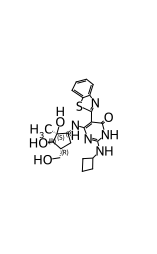 C[C@@]1(O)[C@H](O)[C@@H](CO)C[C@H]1Nc1nc(NC2CCC2)[nH]c(=O)c1-c1nc2ccccc2s1